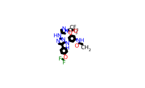 C=CC(=O)Nc1cc(Nc2nc(Nc3cnn(C)c3)ncc2-c2ccc(OC(F)F)cc2)cc(OC(=O)C(F)(F)F)c1